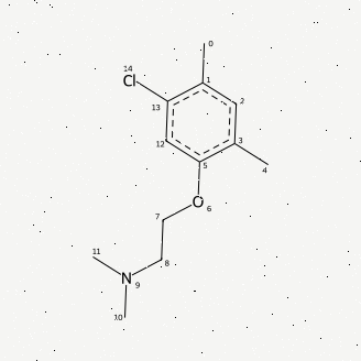 Cc1cc(C)c(OCCN(C)C)cc1Cl